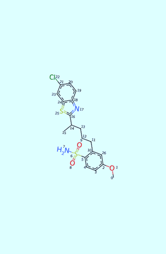 COc1ccc(S(N)(=O)=O)c(CCCC(C)c2nc3ccc(Cl)cc3s2)c1